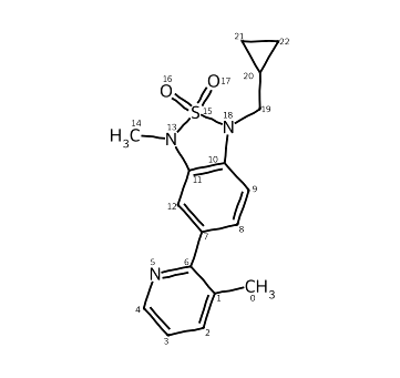 Cc1cccnc1-c1ccc2c(c1)N(C)S(=O)(=O)N2CC1CC1